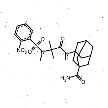 CN(C(C)(C)C(=O)NC12CC3CC(C1)CC(C(N)=O)(C3)C2)S(=O)(=O)c1ccccc1[N+](=O)[O-]